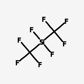 FC(F)(F)[Si](F)(F)C(F)(F)F